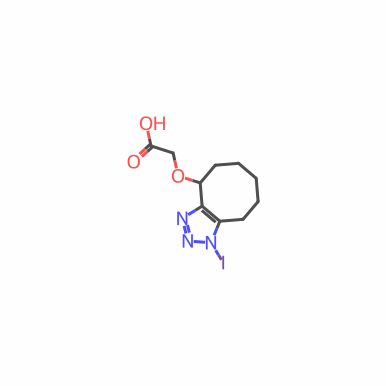 O=C(O)COC1CCCCCc2c1nnn2I